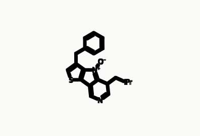 CC(C)CC1C=NC=C2C1=[N+]([O-])c1c(Cc3ccccc3)csc12